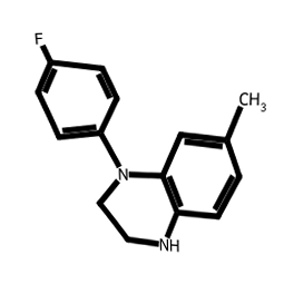 Cc1ccc2c(c1)N(c1ccc(F)cc1)CCN2